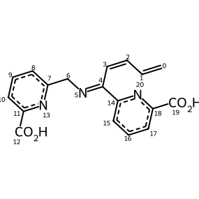 C=C/C=C\C(=N/Cc1cccc(C(=O)O)n1)c1cccc(C(=O)O)n1